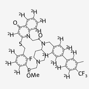 [2H]c1c([2H])c(F)c(F)c(CSc2c([2H])c(=O)c3c([2H])c([2H])c([2H])c([2H])c3n2CC(=O)N(Cc2c([2H])c([2H])c(-c3c([2H])c([2H])c(C(F)(F)F)c(C)c3[2H])c([2H])c2[2H])C2CCN(CCOC)CC2)c1[2H]